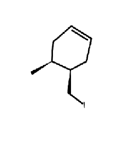 C[C@H]1CC=CC[C@H]1CI